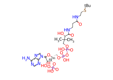 CC(C)(C)SCCNC(=O)CCNC(=O)C(O)C(C)(C)COP(=O)(O)OP(=O)(O)OC[C@H]1O[C@@H](n2cnc3c(N)ncnc32)C(O)[C@H]1OP(=O)(O)O